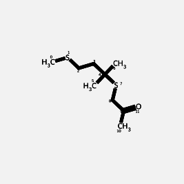 CSCCC(C)(C)SCC(C)=O